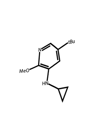 COc1ncc(C(C)(C)C)cc1NC1CC1